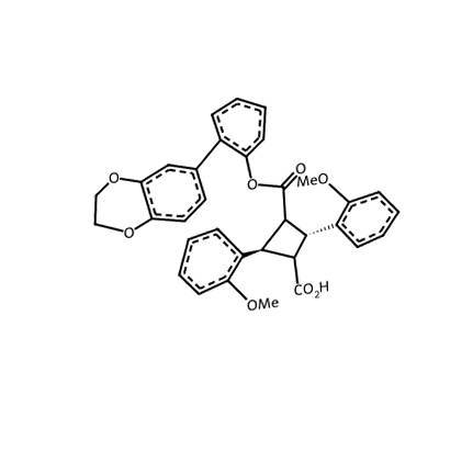 COc1ccccc1[C@@H]1C(C(=O)O)[C@@H](c2ccccc2OC)C1C(=O)Oc1ccccc1-c1ccc2c(c1)OCCO2